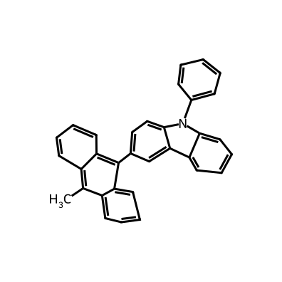 Cc1c2ccccc2c(-c2ccc3c(c2)c2ccccc2n3-c2ccccc2)c2ccccc12